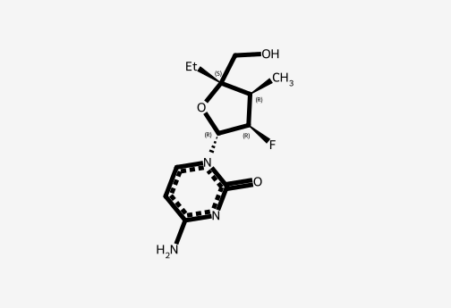 CC[C@]1(CO)O[C@@H](n2ccc(N)nc2=O)[C@H](F)[C@@H]1C